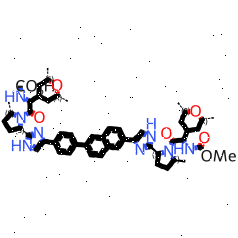 COC(=O)NC(C(=O)N1[C@@H](C)CC[C@H]1c1nc(-c2ccc3cc(-c4ccc(-c5c[nH]c([C@@H]6CC[C@H](C)N6C(=O)C(NC(=O)O)C6C[C@@H](C)O[C@@H](C)C6)n5)cc4)ccc3c2)c[nH]1)C1C[C@@H](C)O[C@@H](C)C1